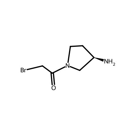 N[C@@H]1CCN(C(=O)CBr)C1